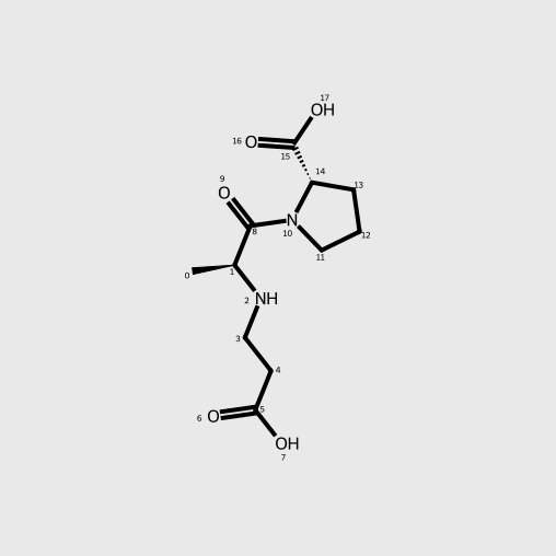 C[C@H](NCCC(=O)O)C(=O)N1CCC[C@H]1C(=O)O